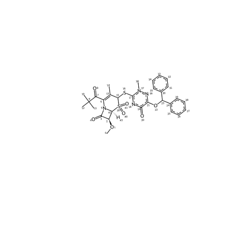 CO[C@H]1C(=O)N2C(C(=O)C(C)(C)C)=C(C)C(Sc3nc(=O)c(OC(c4ccccc4)c4ccccc4)nn3C)S(=O)(=O)[C@@H]12